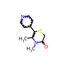 CC1=C(c2ccncc2)SCC(=O)N1C